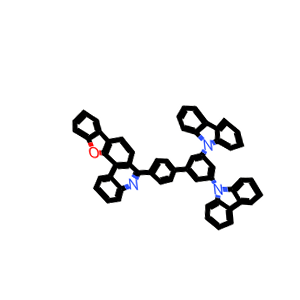 c1ccc2c(c1)nc(-c1ccc(-c3cc(-n4c5ccccc5c5ccccc54)cc(-n4c5ccccc5c5ccccc54)c3)cc1)c1ccc3c4ccccc4oc3c12